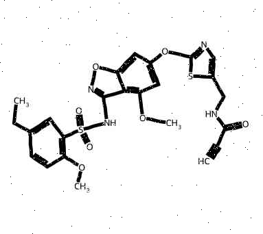 C#CC(=O)NCc1cnc(Oc2cc(OC)c3c(NS(=O)(=O)c4cc(CC)ccc4OC)noc3c2)s1